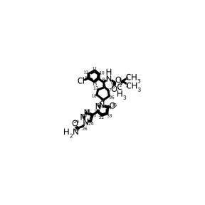 CC(C)(C)OC(=O)NC(c1cccc(Cl)c1)C1CCC(n2nc(-c3cn(CC(N)=O)nn3)ccc2=O)CC1